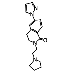 O=C1c2ccc(-n3cccn3)cc2CCN1CCN1CCCC1